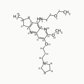 CCOCCNc1c2c(nc3cc(OCCCN4CCCC4)c(OC)nc13)CC(C)C2